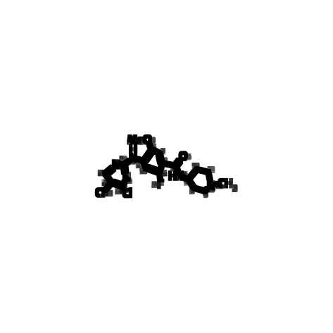 COc1cc(C(=O)NC2CCN(C)CC2)c(F)cc1Nc1ncc(Cl)c(Cl)n1